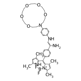 CC1=CC(C)=[N+](B(F)F)/C1=C(/c1ccc(/C(N)=C/Nc2ccc(N3CCOCCOCCOCCOCCOCC3)cc2)cc1)c1[nH]c(C)cc1C